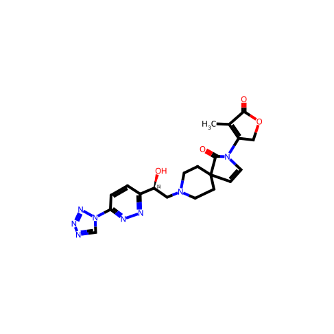 CC1=C(N2C=CC3(CCN(C[C@H](O)c4ccc(-n5cnnn5)nn4)CC3)C2=O)COC1=O